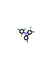 Cc1cc(F)c(-n2c3ccc(C)cc3c3cc(C)c(F)cc32)c(F)c1